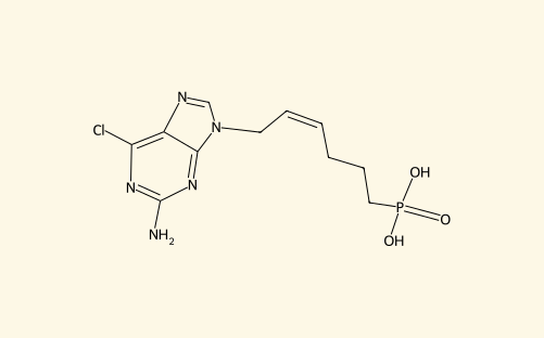 Nc1nc(Cl)c2ncn(C/C=C\CCCP(=O)(O)O)c2n1